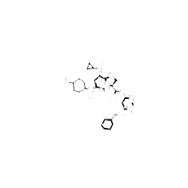 NC1CCC(Nc2cc(NC3CC3)c3ncc(C(=O)Nc4cc(OCc5ccccc5)ncn4)n3n2)CC1